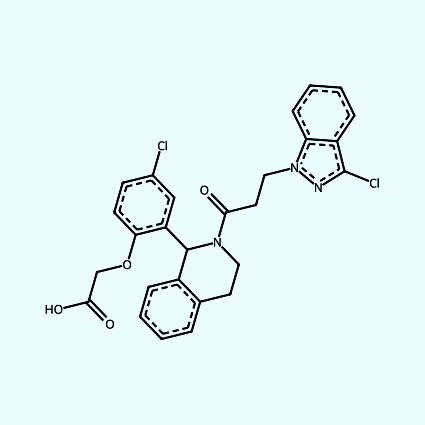 O=C(O)COc1ccc(Cl)cc1C1c2ccccc2CCN1C(=O)CCn1nc(Cl)c2ccccc21